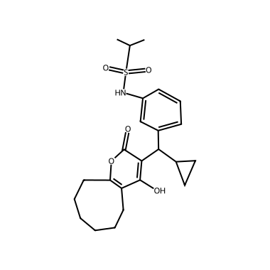 CC(C)S(=O)(=O)Nc1cccc(C(c2c(O)c3c(oc2=O)CCCCCC3)C2CC2)c1